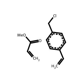 C=CC(=O)OC.C=Cc1ccc(CCl)cc1